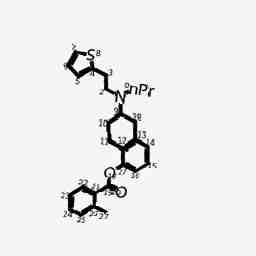 CCCN(CCc1cccs1)C1CCc2c(cccc2OC(=O)c2ccccc2C)C1